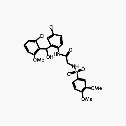 COc1ccc(S(=O)(=O)NCC(=O)Nc2ccc(Cl)cc2C(O)c2c(Cl)cccc2OC)cc1OC